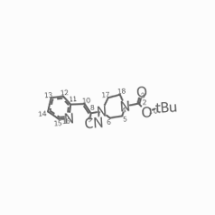 CC(C)(C)OC(=O)N1CCN(/C(C#N)=C/c2ccccn2)CC1